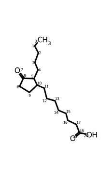 CCCCCC1C(=O)CCC1CCCCCCCC(=O)O